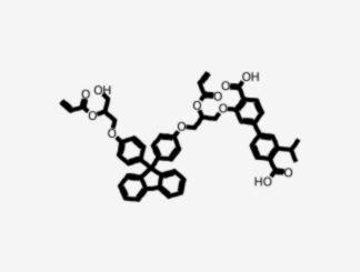 C=CC(=O)OC(CO)COc1ccc(C2(c3ccc(OCC(COc4cc(-c5ccc(C(=O)O)c(C(C)C)c5)ccc4C(=O)O)OC(=O)C=C)cc3)c3ccccc3-c3ccccc32)cc1